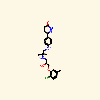 Cc1ccc(Cl)c(OCC(O)CNC(C)(C)CNc2ccc(C3=NNC(=O)CC3)cc2)c1